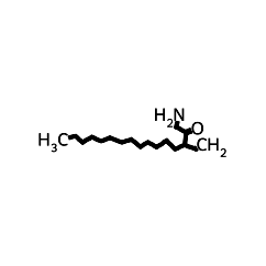 C=CC(CCCCCCCCCCCCC)C(=O)CN